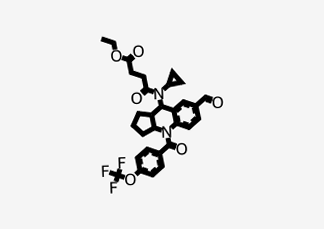 CCOC(=O)CCC(=O)N(C1CC1)C1c2cc(C=O)ccc2N(C(=O)c2ccc(OC(F)(F)F)cc2)C2CCCC21